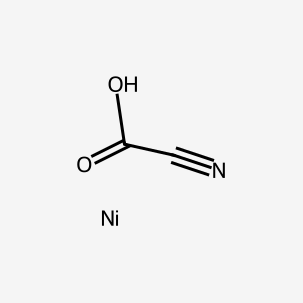 N#CC(=O)O.[Ni]